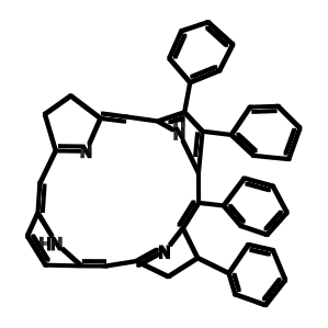 c1ccc(-c2c(-c3ccccc3)c3[nH]c2cc2nc(cc4ccc(cc5nc(c3-c3ccccc3)C(c3ccccc3)C5)[nH]4)CC2)cc1